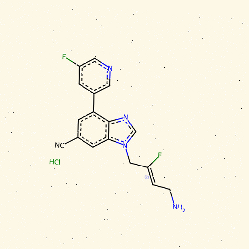 Cl.N#Cc1cc(-c2cncc(F)c2)c2ncn(C/C(F)=C/CN)c2c1